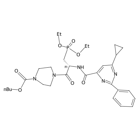 CCCCOC(=O)N1CCN(C(=O)[C@H](CP(=O)(OCC)OCC)NC(=O)c2cc(C3CC3)nc(-c3ccccc3)n2)CC1